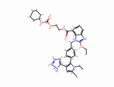 CCOc1nc2cccc(C(=O)OCCOC(=O)OC3CCCCC3)c2n1Cc1ccc(-c2c(-c3nnn[nH]3)cc(C)n2CC)cc1